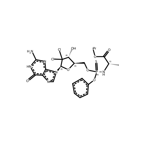 CC(C)OC(=O)[C@H](C)N[P@@](=S)(OC[C@H]1O[C@@H](n2cnc3c(=O)[nH]c(N)nc32)C(Cl)(Cl)[C@@H]1O)Oc1ccccc1